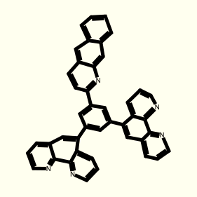 c1ccc2cc3nc(-c4cc(-c5cc6cccnc6c6ncccc56)cc(-c5cc6cccnc6c6ncccc56)c4)ccc3cc2c1